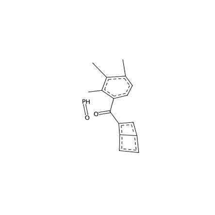 Cc1ccc(C(=O)c2cc3ccc2-3)c(C)c1C.O=P